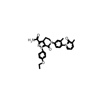 CCOc1ccc(-n2nc(C(N)=O)c3c2C(=O)N(c2ccc(-n4cccc(C)c4=O)c(C)c2)CC3)cc1